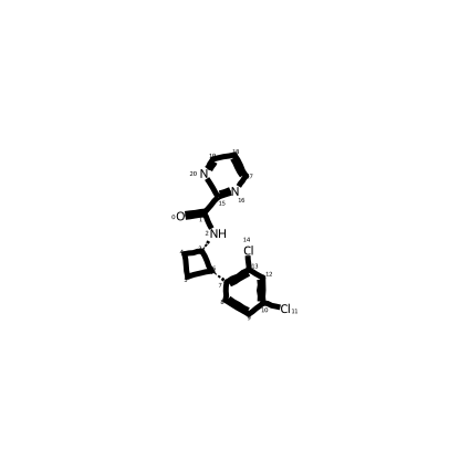 O=C(N[C@H]1CC[C@H]1c1ccc(Cl)cc1Cl)c1ncccn1